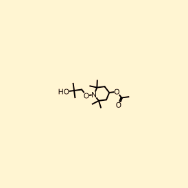 CC(=O)OC1CC(C)(C)N(OCC(C)(C)O)C(C)(C)C1